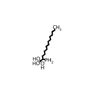 CCCCCCCCCCCCCC(P)C(O)(O)O